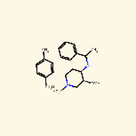 CO[C@H]1CN(C(=O)O)CC[C@H]1NC(C)c1ccccc1.Cc1ccc(S(=O)(=O)O)cc1